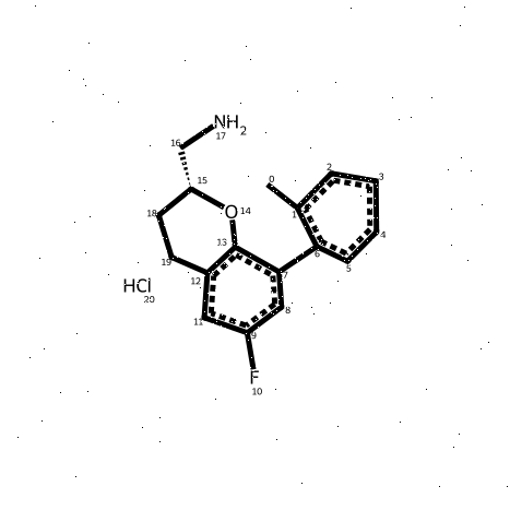 Cc1ccccc1-c1cc(F)cc2c1O[C@@H](CN)CC2.Cl